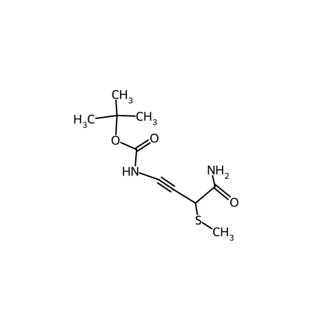 CSC(C#CNC(=O)OC(C)(C)C)C(N)=O